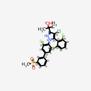 CC(C)(O)c1nn(-c2ccc(-c3cccc(S(C)(=O)=O)c3)cc2F)c(-c2c(F)cccc2Cl)c1Cl